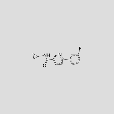 O=C(NC1CC1)c1ccc(-c2cccc(F)c2)nc1